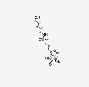 [2H]N1C(=O)NC2C(CCCCC(=O)NCCCCCO)SCC21